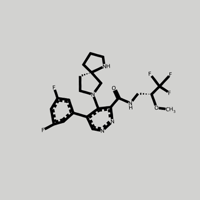 CO[C@H](CNC(=O)c1nncc(-c2cc(F)cc(F)c2)c1N1CC[C@@]2(CCCN2)C1)C(F)(F)F